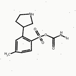 [2H]NC(=O)OS(=O)(=O)c1ccc(C)cc1C1CCNC1